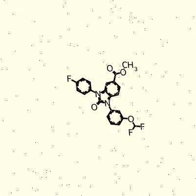 COC(=O)c1ccc2c(c1)n(-c1ccc(F)cc1)c(=O)n2-c1cccc(OC(F)F)c1